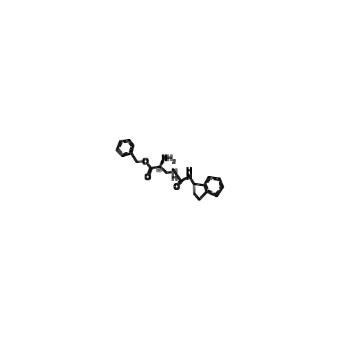 N[C@@H](CNC(=O)NC1CCc2ccccc21)C(=O)OCc1ccccc1